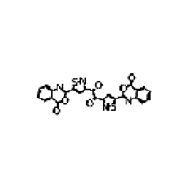 O=C(C(=O)c1cc(-c2nc3ccccc3c(=O)o2)sn1)c1cc(-c2nc3ccccc3c(=O)o2)sn1